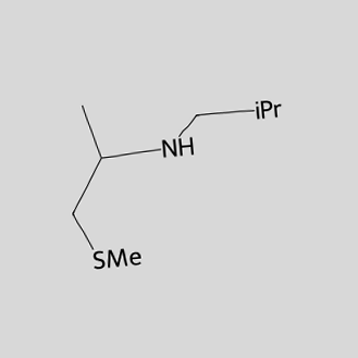 CSCC(C)NCC(C)C